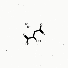 [K+].[K+].[O-]C(=S)CC(O)C([O-])=S